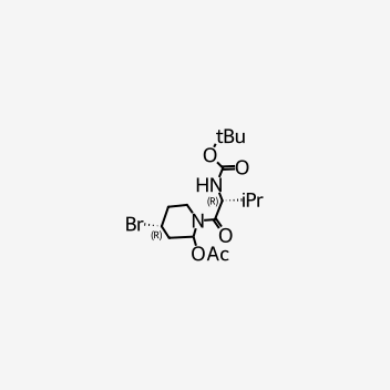 CC(=O)OC1C[C@H](Br)CCN1C(=O)[C@H](NC(=O)OC(C)(C)C)C(C)C